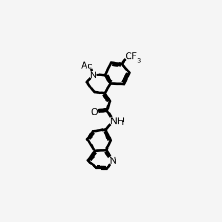 CC(=O)N1CCC(=CC(=O)Nc2ccc3cccnc3c2)c2ccc(C(F)(F)F)cc21